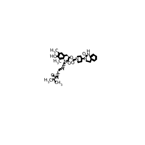 Cc1cc(C[C@@H](OC(=O)N2CCC(N3CCc4ccccc4NC3=O)CC2)C(=O)N=C=C=NC=C=C=N[S+]([O-])N(C)C)cc(C)c1O